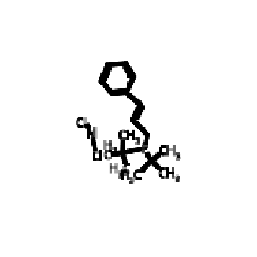 CC(C)(C)P(C/C=C/c1ccccc1)C(C)(C)C.[Cl][Ni][Cl]